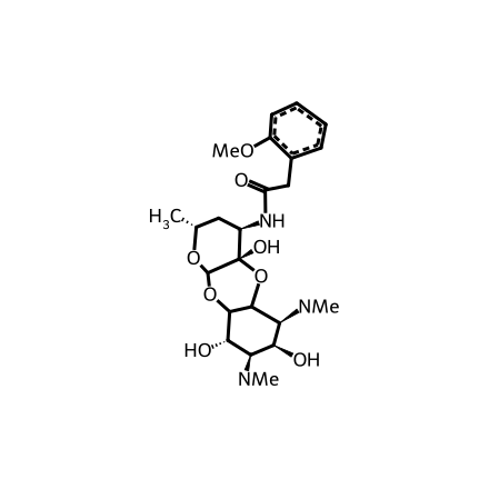 CN[C@@H]1[C@H](O)[C@H](NC)C2O[C@]3(O)C(OC2[C@H]1O)O[C@H](C)C[C@H]3NC(=O)Cc1ccccc1OC